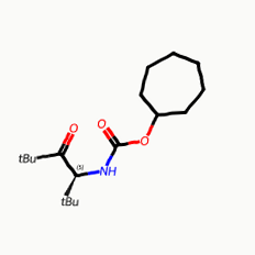 CC(C)(C)C(=O)[C@@H](NC(=O)OC1CCCCCC1)C(C)(C)C